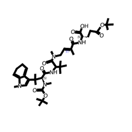 C/C(=C\CN(C)C(=O)C(NC(=O)[C@@H](N(C)C(=O)OC(C)(C)C)C(C)(C)c1cn(C)c2c1=CCCC=2)C(C)(C)C)C(=O)N[C@@H](CCC(=O)OC(C)(C)C)C(=O)O